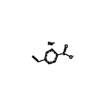 C=Cc1ccc(S(=O)[O-])cc1.[Na+]